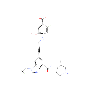 COc1cc(C(=O)O)c(F)cc1NCC#Cc1cc(C(=O)N[C@H]2CCN(C)C[C@@H]2C)c2ncn(CC(F)(F)F)c2c1